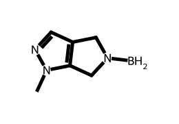 BN1Cc2cnn(C)c2C1